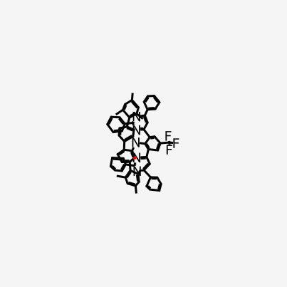 Cc1cc(C)c(-c2ccc3c4ccc(-c5c(C)cc(C)cc5C)cc4n(-c4c(-c5cc(-c6ccccc6)nc(-c6ccccc6)n5)cc(C(F)(F)F)cc4-c4cc(-c5ccccc5)nc(-c5ccccc5)n4)c3c2)c(C)c1